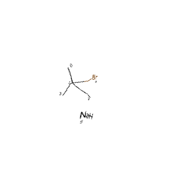 CC(C)(C)Br.[NaH]